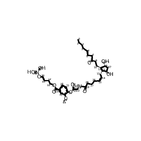 CCCCCCCC(=O)CC[C@@H]1[C@@H](C/C=C\CCCC(=O)NCC(=O)Oc2ccc(C(=O)OCCCCON(O)O)cc2OC)[C@@H](O)C[C@H]1O